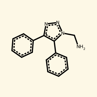 NCn1nnc(-c2ccccc2)c1-c1ccccc1